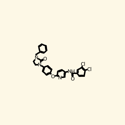 O=C(Nc1ccc(Oc2ccc(N3CCN(Cc4ccccc4)C3=O)cc2)nc1)c1ccc(Cl)c(Cl)c1